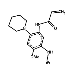 C=CC(=O)Nc1cc(NC(C)C)c(OC)cc1N1CCCCC1